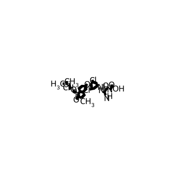 Cc1cc2cc(Oc3c(Cl)cc(N/N=C(/C#N)C(=O)NC(=O)O)cc3Cl)ccc2n(COCC[Si](C)(C)C)c1=O